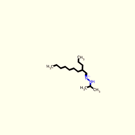 CCCCCCCC(/C=N/NC(C)C)CCC